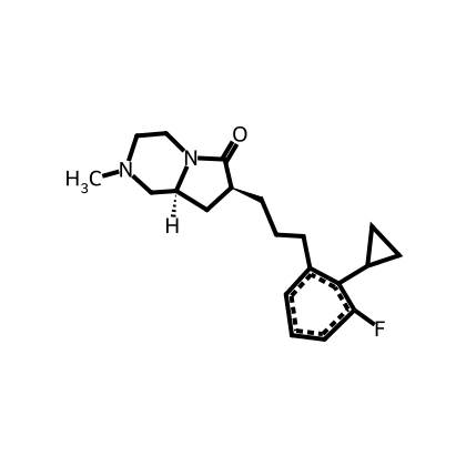 CN1CCN2C(=O)[C@@H](CCCc3cccc(F)c3C3CC3)C[C@H]2C1